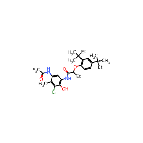 CCC(Oc1ccc(C(C)(C)CC)cc1C(C)(C)CC)C(=O)Nc1cc(NC(=O)C(F)(F)F)c(C)c(Cl)c1O